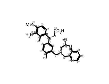 CC[C@@H]1CN(Cc2cc([C@@H](CC(=O)O)c3ccc(NC)c(N)c3C)ccc2C)Cc2ncccc2O1